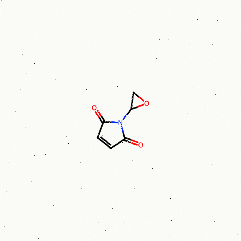 O=C1C=CC(=O)N1C1CO1